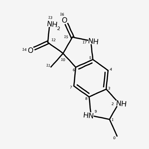 CC1Nc2cc3c(cc2N1)C(C)(C(N)=O)C(=O)N3